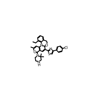 CCc1cccc(CC)c1-n1c(C=C(C)C)c(C(=O)N2CCNCC2(C)C)cc(-c2nc(-c3ccc(Cl)cc3)cs2)c1=O